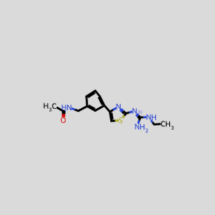 CCN/C(N)=N/c1nc(-c2cccc(CNC(C)=O)c2)cs1